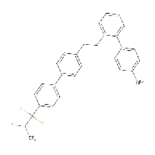 CCCc1ccc(-c2ccccc2CCc2ccc(-c3ccc(C(F)(F)C(F)C(F)(F)F)cc3)cc2)cc1